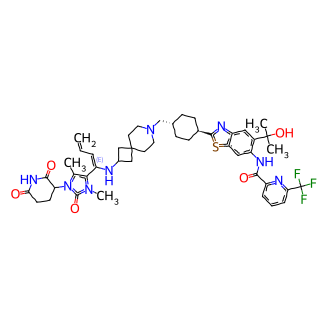 C=C/C=C(/NC1CC2(CCN(C[C@H]3CC[C@H](c4nc5cc(C(C)(C)O)c(NC(=O)c6cccc(C(F)(F)F)n6)cc5s4)CC3)CC2)C1)c1c(C)n(C2CCC(=O)NC2=O)c(=O)n1C